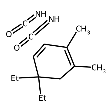 CCC1(CC)C=CC(C)=C(C)C1.N=C=O.N=C=O